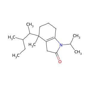 CCC(C)C(C)C1(C)CCCC2=C1CC(=O)N2C(C)C